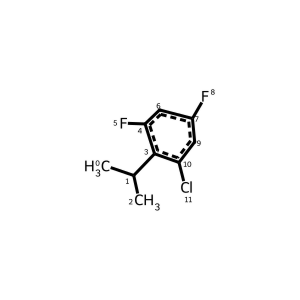 CC(C)c1c(F)cc(F)cc1Cl